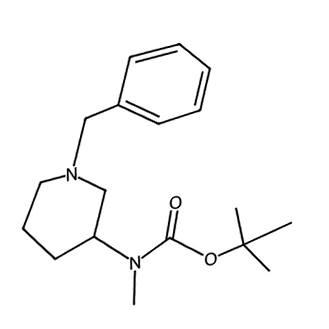 CN(C(=O)OC(C)(C)C)C1CCCN(Cc2ccccc2)C1